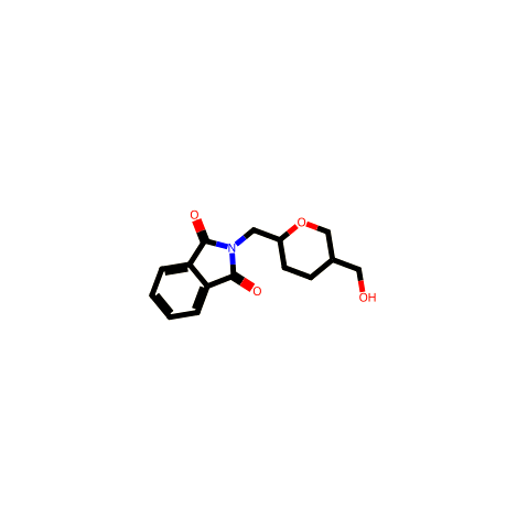 O=C1c2ccccc2C(=O)N1CC1CCC(CO)CO1